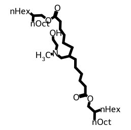 CCCCCCCCC(CCCCCC)COC(=O)CCCCCC(CCCCCC(=O)OCC(CCCCCC)CCCCCCCC)CN(C)CCO